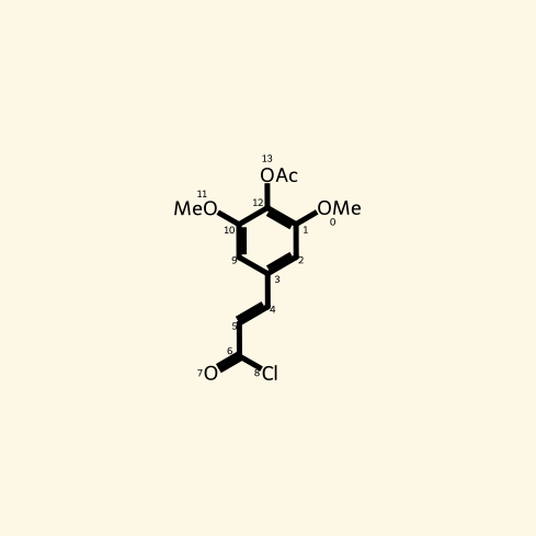 COc1cc(C=CC(=O)Cl)cc(OC)c1OC(C)=O